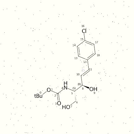 CC(C)(C)OC(=O)N[C@@H](CO)[C@H](O)/C=C/c1ccc(Cl)cc1